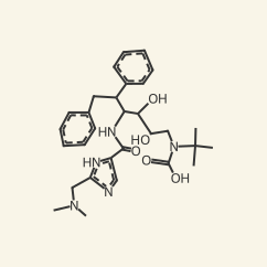 CN(C)Cc1ncc(C(=O)NC(C(Cc2ccccc2)c2ccccc2)C(O)C(O)CN(C(=O)O)C(C)(C)C)[nH]1